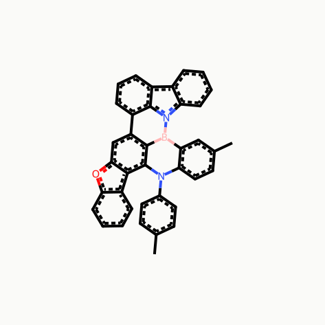 Cc1ccc(N2c3ccc(C)cc3B3c4c(cc5oc6ccccc6c5c42)-c2cccc4c5ccccc5n3c24)cc1